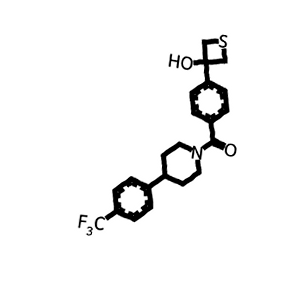 O=C(c1ccc(C2(O)CSC2)cc1)N1CCC(c2ccc(C(F)(F)F)cc2)CC1